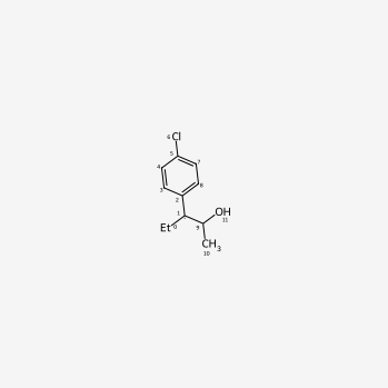 CC[C](c1ccc(Cl)cc1)C(C)O